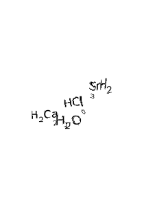 Cl.O.[CaH2].[SrH2]